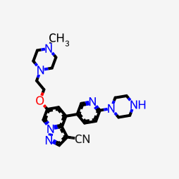 CN1CCN(CCOc2cc(-c3ccc(N4CCNCC4)nc3)c3c(C#N)cnn3c2)CC1